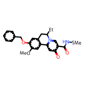 CCC1Cc2cc(OCc3ccccc3)c(OC)cc2-c2cc(=O)c(C(=O)NSC)cn21